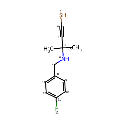 CC(C)(C#CS)NCc1ccc(F)cc1